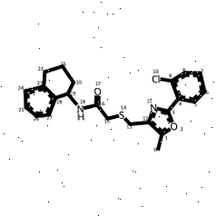 Cc1oc(-c2ccccc2Cl)nc1CSCC(=O)NC1CCCc2ccccc21